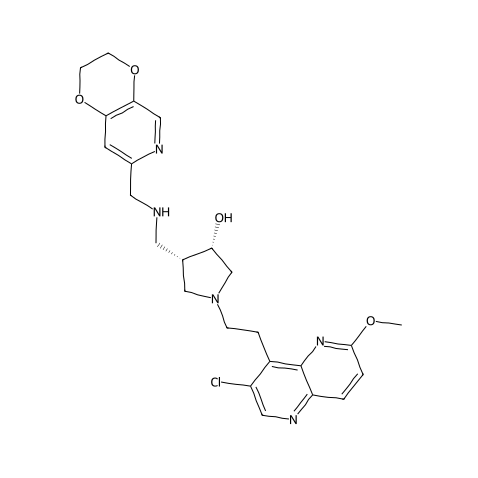 COc1ccc2ncc(Cl)c(CCN3C[C@H](CNCc4cc5c(cn4)OCCO5)[C@H](O)C3)c2n1